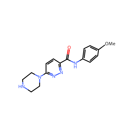 COc1ccc(NC(=O)c2ccc(N3CCNCC3)nn2)cc1